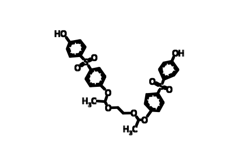 CC(OCCOC(C)Oc1ccc(S(=O)(=O)c2ccc(O)cc2)cc1)Oc1ccc(S(=O)(=O)c2ccc(O)cc2)cc1